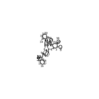 COc1cc(CCN2CCN(c3nsc4ccccc34)CC2)c(NC(=O)Nc2c(C)cccc2C)cc1OC